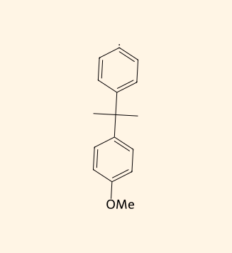 COc1ccc(C(C)(C)c2cc[c]cc2)cc1